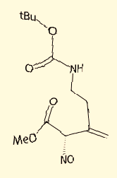 C=C(CCNC(=O)OC(C)(C)C)[C@H](N=O)C(=O)OC